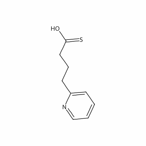 OC(=S)CCCc1ccccn1